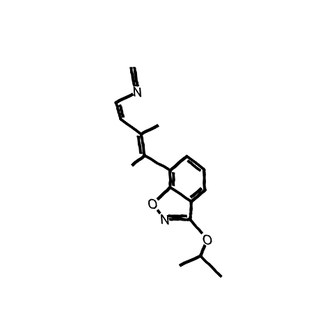 C=N/C=C\C(C)=C(/C)c1cccc2c(OC(C)C)noc12